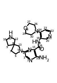 Nc1ncc(N2CCC3(CCNC3)C2)nc1C(=O)Nc1cnccc1N1CCOCC1